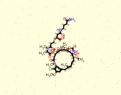 COc1cc2cc(c1Cl)N(C)C(=O)C[C@H](OC(=O)[C@H](C)N(C)C(=O)CCSC(C=O)CC(=O)NCCCC(N)=O)[C@]1(C)O[C@H]1[C@H](C)[C@@H]1C[C@@](O)(NC(=O)O1)[C@H](OC)/C=C/C=C(\C)C2